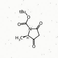 C[C@@H]1C(=O)CC(=O)N1C(=O)OC(C)(C)C